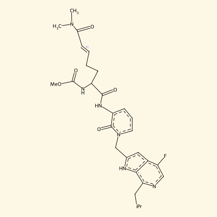 COC(=O)NC(CC/C=C/C(=O)N(C)C)C(=O)Nc1cccn(Cc2cc3c(F)cnc(CC(C)C)c3[nH]2)c1=O